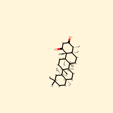 C[C@H]1C(=O)CC(=O)[C@@H]2[C@]1(C)CC[C@H]1[C@@]2(C)CC[C@@]2(C)[C@@H]3CC(C)(C)CC[C@]3(C)CC[C@]12C